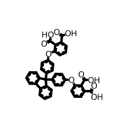 O=C(O)c1cccc(Oc2ccc(C3(c4ccc(Oc5cccc(C(=O)O)c5C(=O)O)cc4)c4ccccc4-c4ccccc43)cc2)c1C(=O)O